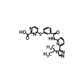 CC(C)n1cnnc1-c1cccc(NC(=O)c2cccc(Sc3ccnc(C(=O)O)n3)c2)n1